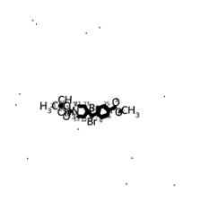 COC(=O)c1ccc(C(Br)C2(Br)CCN(C(=O)OC(C)(C)C)CC2)cc1